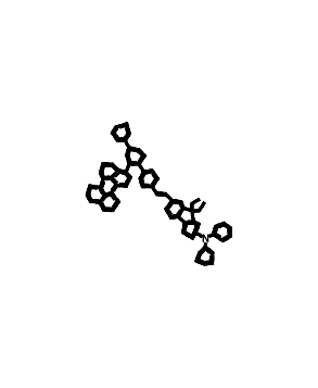 CCC1(CC)c2cc(/C=C/c3ccc(-c4ccc(-c5ccccc5)cc4-c4ccc5c6cccc7cccc(c8cccc4c85)c76)cc3)ccc2-c2ccc(N(c3ccccc3)c3ccccc3)cc21